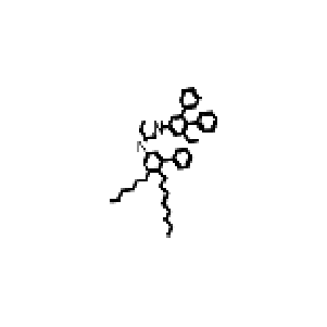 CCCCCCCCc1c(CCCCCC)cc(N=C(C=Nc2cc(CC)c(-c3ccccc3)c(-c3ccccc3)c2)CC)cc1-c1ccccc1